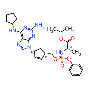 CC(C)OC(=O)[C@H](C)N[P@@](=O)(OC[C@@H]1C=C[C@H](n2cnc3c(NC4CCCC4)nc(N)nc32)C1)Oc1ccccc1